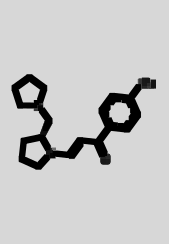 CC(C)(C)c1ccc(C(=O)/C=C/N2CCC[C@H]2CN2CCCC2)cc1